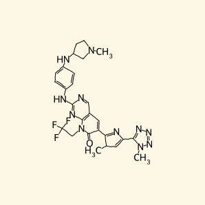 CC1C=C(c2nnnn2C)N=C1c1cc2cnc(Nc3ccc(NC4CCN(C)C4)cc3)nc2n(CC(F)(F)F)c1=O